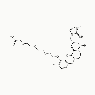 COC(=O)COCCOCCOCCOc1cc(CC2COc3c(Br)cc(Cn4ccn(C)c4=N)cc3C2=O)ccc1F